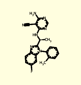 Cc1ccccc1-n1c([C@H](C)Nc2ncnc(N)c2C#N)nc2ccc(F)cc21